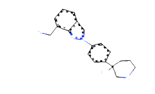 CC1(c2ccc(-n3cc4cccc(CN)c4n3)cc2)CCCNC1